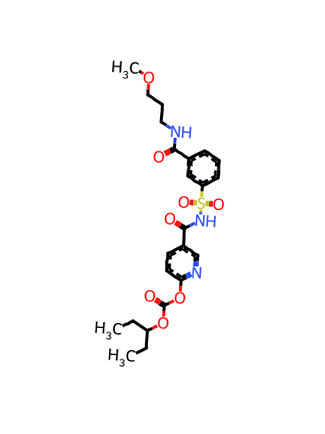 CCC(CC)OC(=O)Oc1ccc(C(=O)NS(=O)(=O)c2cccc(C(=O)NCCCOC)c2)cn1